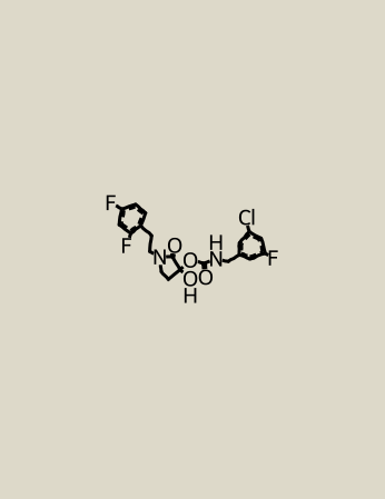 O=C(NCc1cc(F)cc(Cl)c1)OC1(O)CCN(CCc2ccc(F)cc2F)C1=O